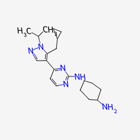 CC(C)n1ncc(-c2ccnc(NC3CCC(N)CC3)n2)c1CC1CC1